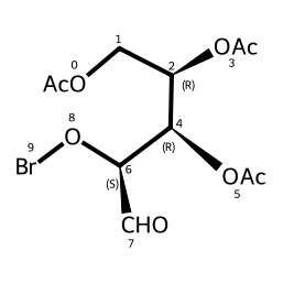 CC(=O)OC[C@@H](OC(C)=O)[C@@H](OC(C)=O)[C@@H](C=O)OBr